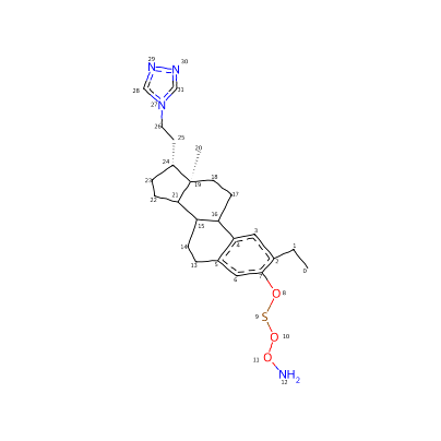 CCc1cc2c(cc1OSOON)CCC1C2CC[C@@]2(C)C1CC[C@@H]2CCn1cnnc1